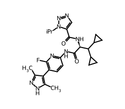 Cc1n[nH]c(C)c1-c1ccc(NC(=O)[C@@H](NC(=O)c2cnnn2C(C)C)C(C2CC2)C2CC2)nc1F